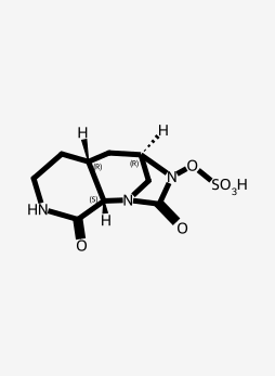 O=C1NCC[C@@H]2C[C@@H]3CN(C(=O)N3OS(=O)(=O)O)[C@H]12